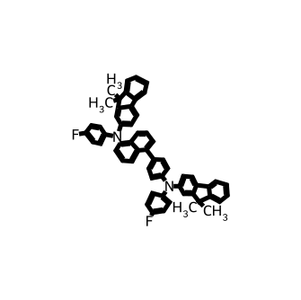 CC1(C)c2ccccc2-c2ccc(N(c3ccc(F)cc3)c3ccc(-c4cccc5c(N(c6ccc(F)cc6)c6ccc7c(c6)C(C)(C)c6ccccc6-7)cccc45)cc3)cc21